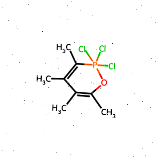 CC1=C(C)C(C)=C(C)P(Cl)(Cl)(Cl)O1